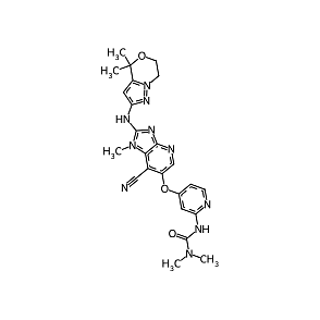 CN(C)C(=O)Nc1cc(Oc2cnc3nc(Nc4cc5n(n4)CCOC5(C)C)n(C)c3c2C#N)ccn1